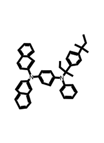 CCC(C)(C)c1ccc(C(C)(CC)N(c2ccccc2)c2ccc(N(c3ccc4ccccc4c3)c3ccc4ccccc4c3)cc2)cc1